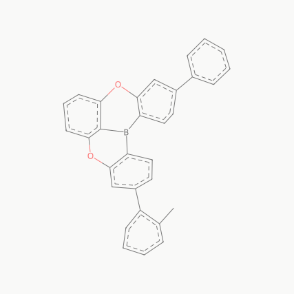 Cc1ccccc1-c1ccc2c(c1)Oc1cccc3c1B2c1ccc(-c2ccccc2)cc1O3